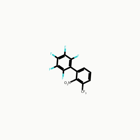 O=[N+]([O-])c1c(-c2c(F)c(F)c(F)c(F)c2F)cccc1C(F)(F)F